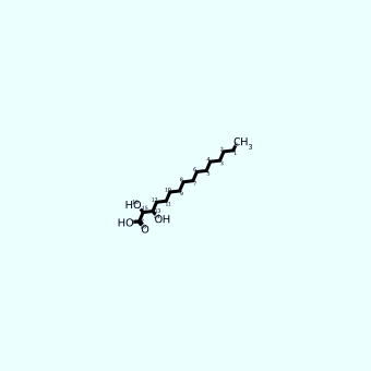 CCCCCCCCCCCCCC(O)C(O)C(=O)O